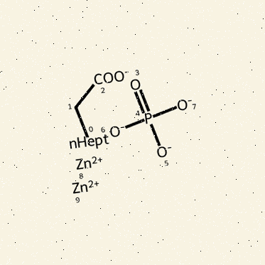 CCCCCCCCC(=O)[O-].O=P([O-])([O-])[O-].[Zn+2].[Zn+2]